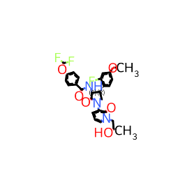 COc1ccc([C@@H]2CN(c3cccn(CC(C)O)c3=O)C(=O)[C@H]2NC(=O)c2ccc(OC(F)F)cc2)c(F)c1